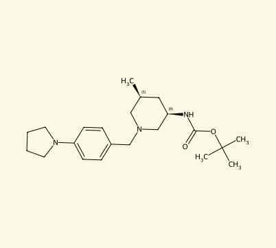 C[C@H]1C[C@@H](NC(=O)OC(C)(C)C)CN(Cc2ccc(N3CCCC3)cc2)C1